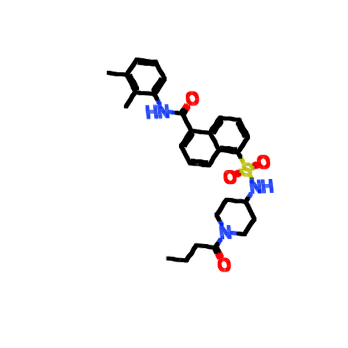 CCCC(=O)N1CCC(NS(=O)(=O)c2cccc3c(C(=O)Nc4cccc(C)c4C)cccc23)CC1